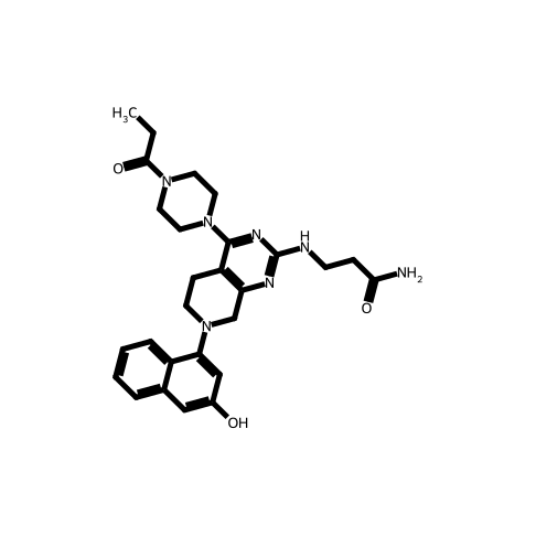 CCC(=O)N1CCN(c2nc(NCCC(N)=O)nc3c2CCN(c2cc(O)cc4ccccc24)C3)CC1